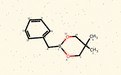 CC1(C)COB(Cc2ccccc2)OC1